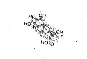 C[C@@H]1CC[C@]2(C(=O)O)CC[C@]3(C)C(=CC[C@@H]4[C@@]5(C)C[C@@H](O)[C@@H](O)[C@@](C)(CO)[C@@H]5CC[C@]43C)[C@@H]2[C@]1(C)O